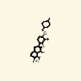 CCCc1ccc2cc3c(sc4c(F)c(OCC5CCC(C)CC5)ccc43)c(F)c2c1F